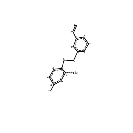 C=Cc1cccc(CCc2ccc(C)cc2Cl)c1